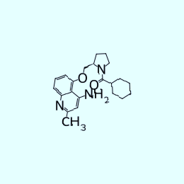 Cc1cc(N)c2c(OC[C@H]3CCCN3C(=O)C3CCCCC3)cccc2n1